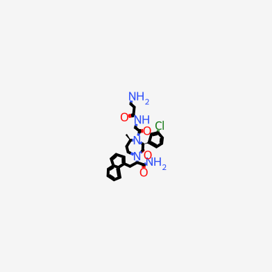 C[C@@H]1CCN(C(Cc2cccc3ccccc23)C(N)=O)C(=O)[C@@H](c2cccc(Cl)c2)N1C(=O)CNC(=O)CCN